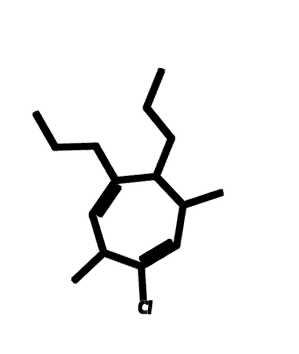 CCCC1=CC(C)C(Cl)=CC(C)C1CCC